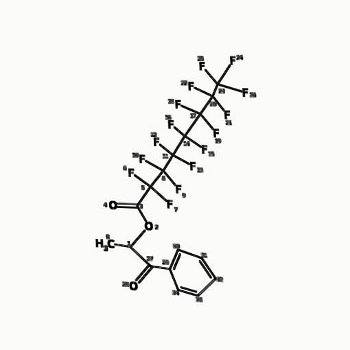 CC(OC(=O)C(F)(F)C(F)(F)C(F)(F)C(F)(F)C(F)(F)C(F)(F)C(F)(F)F)C(=O)c1ccccc1